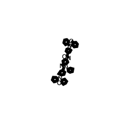 c1ccc(-n2c(-c3ccc(N4c5ccccc5Oc5ccccc54)cc3)nc3cc4oc(-c5ccc(N6c7ccccc7Oc7ccccc76)cc5)nc4cc32)cc1